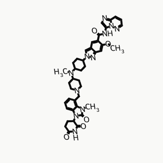 COc1cc2nn(C3CCC(N(C)C4CCN(Cc5cccc6c5n(C)c(=O)n6C5CCC(=O)NC5=O)CC4)CC3)cc2cc1C(=O)Nc1cnc2cccnn12